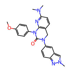 COc1ccc(N2C(=O)N(c3ccc4nn(C)cc4c3)Cc3ccc(N(C)C)nc32)cc1